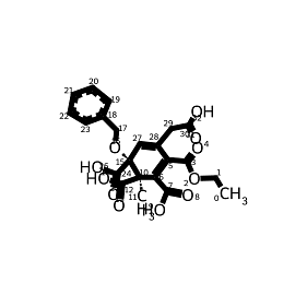 CCOC(=O)C1=C(C(=O)O)[C@@](C)(C(=O)O)[C@@](OCc2ccccc2)(C(=O)O)C=C1CC(=O)O